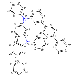 c1ccc(-c2ccc(-c3cccc(N(c4ccccc4)c4ccc5c6ccc(-c7ccccc7)cc6n(-c6ccccc6)c5c4)c3)cc2)cc1